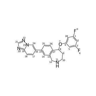 Fc1cc(F)cc(OC2CCNCc3cc(-c4ccc5ncnn5c4)ccc32)c1